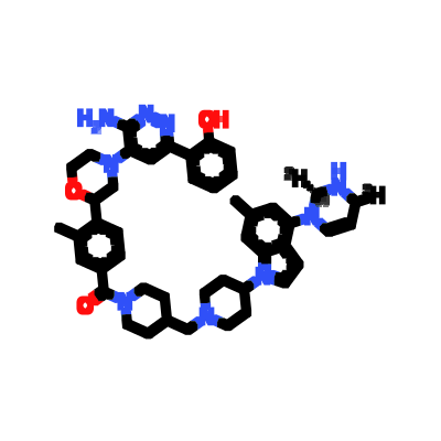 [2H]C1C=CN(c2cc(C)cc3c2ccn3C2CCN(CC3CCN(C(=O)c4ccc(C5CN(c6cc(-c7ccccc7O)nnc6N)CCO5)c(C)c4)CC3)CC2)[C@H]([2H])N1